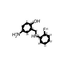 Nc1ccc(O)c(CNc2ccccc2F)c1